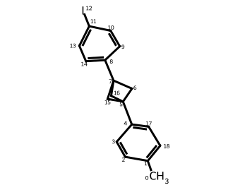 Cc1ccc(C23CC(c4ccc(I)cc4)(C2)C3)cc1